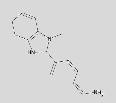 C=C(/C=C\C=C/N)C1NC2=C(C=CCC2)N1C